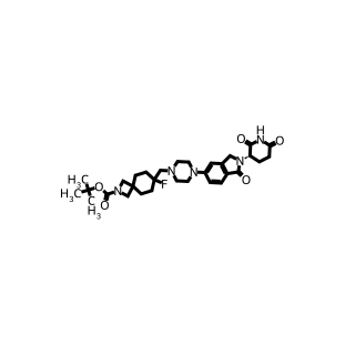 CC(C)(C)OC(=O)N1CC2(CCC(F)(CN3CCN(c4ccc5c(c4)CN([C@H]4CCC(=O)NC4=O)C5=O)CC3)CC2)C1